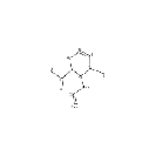 CC(C)C1CC=CC(C)C1CC=O